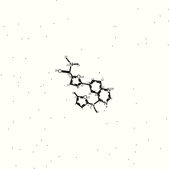 Cc1ccc(N(C)c2ncnc3ccc(-c4ccc(C(=O)N(C)C)o4)cc23)o1